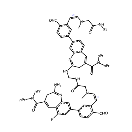 CCCN(CCC)C(=O)C1=Cc2c(F)cc(-c3ccc(C=O)c(/C=C\N(C)CC(=O)NCNC4=Nc5cc(-c6ccc(C=O)c(/C=C\N(C)CC(=O)NCC)c6)ccc5C=C(C(=O)N(CCC)CCC)C4)c3)cc2N=C(N)C1